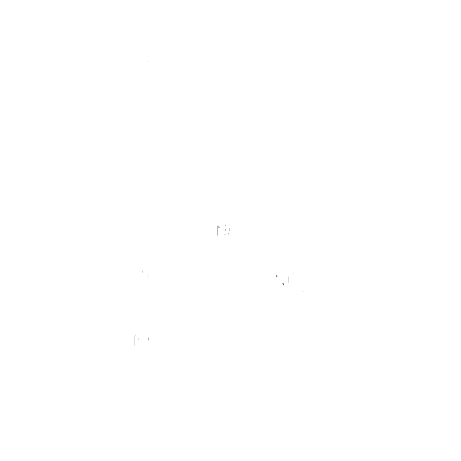 C=Cc1ccc(O)c(C(=S)Nc2ccc(Cl)cc2)c1[N+](=O)[O-]